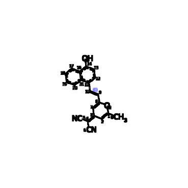 CC1=CC(=C(C#N)C#N)C=C(/C=C/c2ccc(O)c3ccccc23)O1